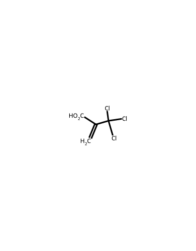 C=C(C(=O)O)C(Cl)(Cl)Cl